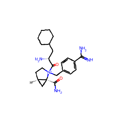 N=C(N)c1ccc(C[N+]2(C(=O)[C@H](N)CC3CCCCC3)CC[C@@H]3C[C@@]32C(N)=O)cc1